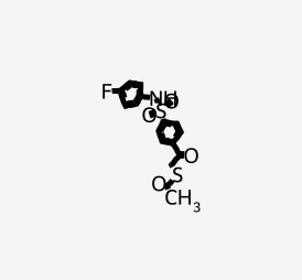 CC(=O)SCC(=O)c1ccc(S(=O)(=O)Nc2ccc(F)cc2)cc1